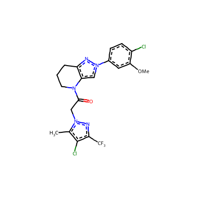 COc1cc(-n2cc3c(n2)CCCN3C(=O)Cn2nc(C(F)(F)F)c(Cl)c2C)ccc1Cl